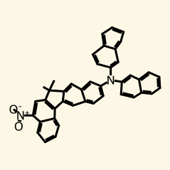 CC1(C)c2cc3cc(N(c4ccc5ccccc5c4)c4ccc5ccccc5c4)ccc3cc2-c2c1cc([N+](=O)[O-])c1ccccc21